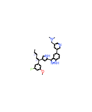 C/C=C/C=C(/c1cc(F)cc(OC)c1)c1c[nH]c(-c2n[nH]c3ccc(-c4cncc(CN(C)C)c4)cc23)c1